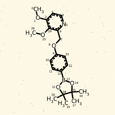 COc1ccnc(COc2ccc(B3OC(C)(C)C(C)(C)O3)cc2)c1OC